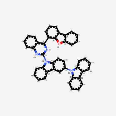 c1ccc2c(-c3cccc4c3oc3ccccc34)nc(-n3c4ccccc4c4cc(-n5c6ccccc6c6ccccc65)ccc43)nc2c1